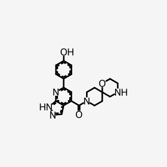 O=C(c1cc(-c2ccc(O)cc2)nc2[nH]ncc12)N1CCC2(CC1)CNCCO2